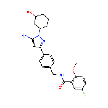 COc1ccc(F)cc1C(=O)NCc1ccc(-c2cc(N)n(C3CCCC(O)C3)n2)cc1